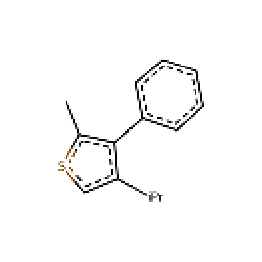 Cc1scc(C(C)C)c1-c1ccccc1